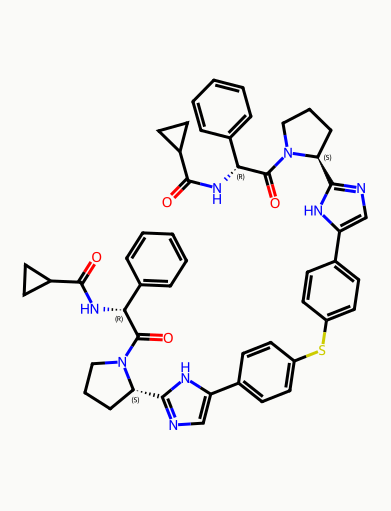 O=C(N[C@@H](C(=O)N1CCC[C@H]1c1ncc(-c2ccc(Sc3ccc(-c4cnc([C@@H]5CCCN5C(=O)[C@H](NC(=O)C5CC5)c5ccccc5)[nH]4)cc3)cc2)[nH]1)c1ccccc1)C1CC1